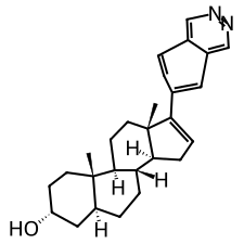 C[C@]12CC[C@@H](O)C[C@@H]1CC[C@@H]1[C@@H]2CC[C@]2(C)C(c3ccc4cnncc4c3)=CC[C@@H]12